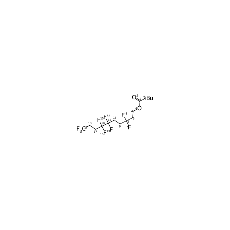 CCC(C)C(=O)OCCC(F)(F)CCC(F)(F)C(F)(F)CCC(F)(F)F